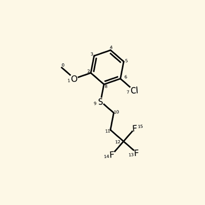 COc1cccc(Cl)c1SCCC(F)(F)F